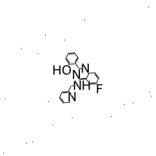 Oc1ccccc1-c1nc(NCc2ccccn2)c2cc(F)ccc2n1